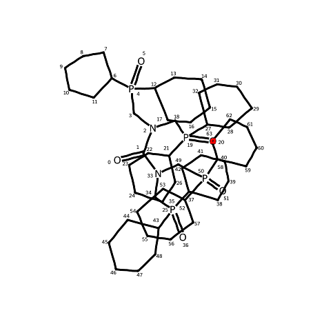 O=C(N(CP(=O)(C1CCCCC1)C1CCCCC1)CP(=O)(C1CCCCC1)C1CCCCC1)N(CP(=O)(C1CCCCC1)C1CCCCC1)CP(=O)(C1CCCCC1)C1CCCCC1